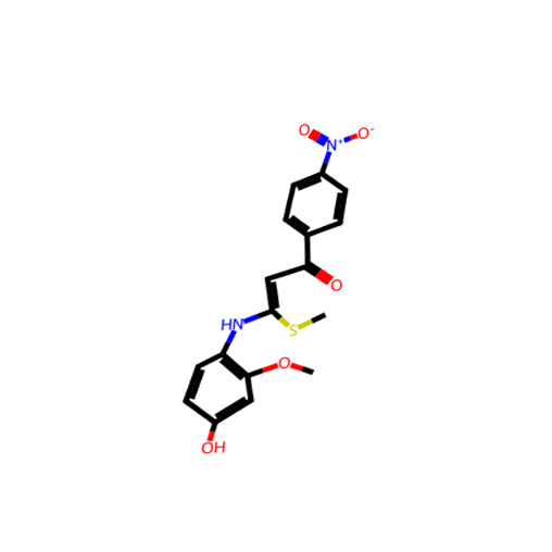 COc1cc(O)ccc1N/C(=C/C(=O)c1ccc([N+](=O)[O-])cc1)SC